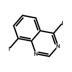 Ic1ncnc2c(I)cccc12